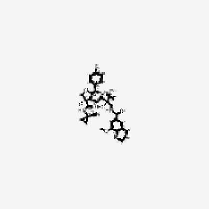 COc1cc(C(=O)NC[C@](O)(c2cc3c(c(-c4ccc(F)cc4)n2)OC[C@]3(C)C(=O)NC2(C#N)CC2)C(F)(F)F)cc2cccnc12